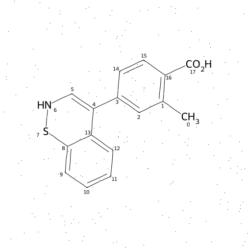 Cc1cc(C2=CNSc3ccccc32)ccc1C(=O)O